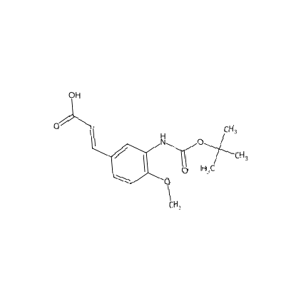 COc1ccc(C=CC(=O)O)cc1NC(=O)OC(C)(C)C